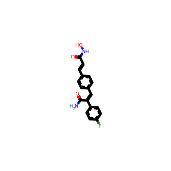 NC(=O)/C(=C\c1ccc(/C=C/C(=O)NO)cc1)c1ccc(F)cc1